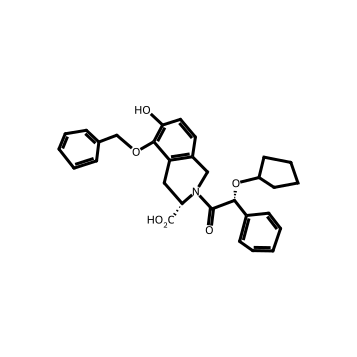 O=C(O)[C@@H]1Cc2c(ccc(O)c2OCc2ccccc2)CN1C(=O)[C@H](OC1CCCC1)c1ccccc1